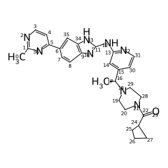 Cc1nccc(-c2ccc3nc(Nc4cc([C@H](C)N5CCN(C(=O)C6CCC6)CC5)ccn4)[nH]c3c2)n1